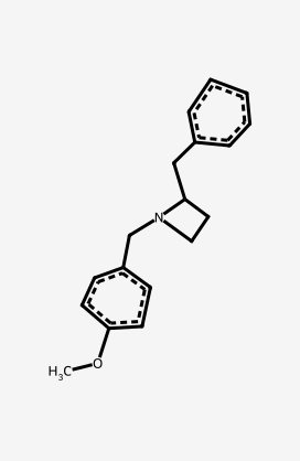 COc1ccc(CN2CCC2Cc2ccccc2)cc1